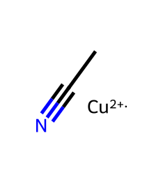 CC#N.[Cu+2]